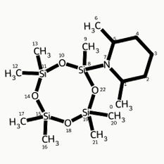 CC1CCCC(C)N1[Si]1(C)O[Si](C)(C)O[Si](C)(C)O[Si](C)(C)O1